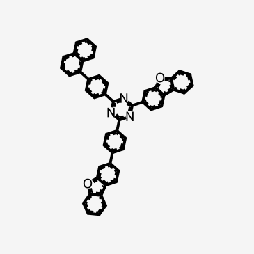 c1ccc2c(-c3ccc(-c4nc(-c5ccc(-c6ccc7c(c6)oc6ccccc67)cc5)nc(-c5ccc6c(c5)oc5ccccc56)n4)cc3)cccc2c1